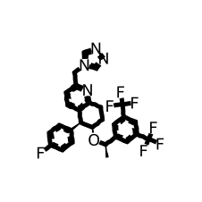 C[C@@H](O[C@H]1CCc2nc(Cn3cnnc3)ccc2[C@@H]1c1ccc(F)cc1)c1cc(C(F)(F)F)cc(C(F)(F)F)c1